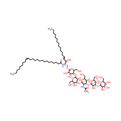 CCCCCCCC/C=C\CCCCCCCCCCCCCC(=O)N[C@@H](CO[C@@H]1OC(CO)[C@@H](O[C@@H]2OC(CO)[C@H](O)[C@H](O[C@@H]3OC(CO)[C@@H](O)[C@H](O[C@@H]4OC(CO)[C@H](O)[C@H](O[C@@H]5OC(CO)[C@H](O)[C@H](O)C5O)C4O)C3NC(C)=O)C2O)[C@H](O)C1O)[C@H](O)/C=C/CCCCCCCCCCCCC